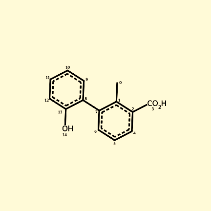 Cc1c(C(=O)O)cccc1-c1ccccc1O